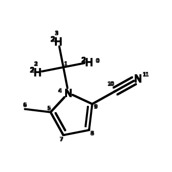 [2H]C([2H])([2H])n1c(C)ccc1C#N